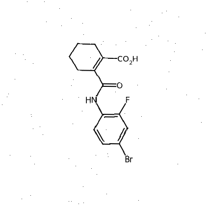 O=C(O)C1=C(C(=O)Nc2ccc(Br)cc2F)CCCC1